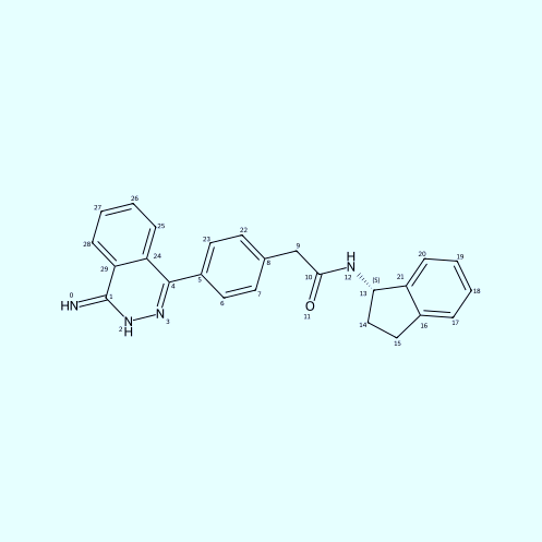 N=c1[nH]nc(-c2ccc(CC(=O)N[C@H]3CCc4ccccc43)cc2)c2ccccc12